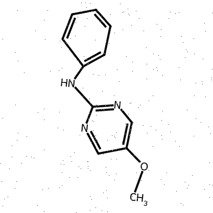 COc1cnc(Nc2ccccc2)nc1